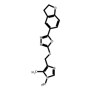 CCCn1cnc(CSc2nnc(-c3ccc4c(c3)CCO4)o2)c1C